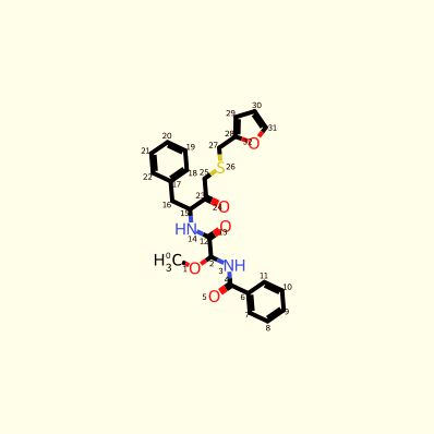 COC(NC(=O)c1ccccc1)C(=O)NC(Cc1ccccc1)C(=O)CSCc1ccco1